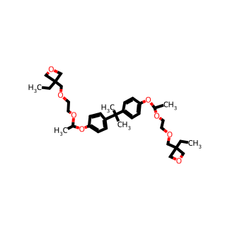 CCC1(COCCOC(C)Oc2ccc(C(C)(C)c3ccc(OC(C)OCCOCC4(CC)COC4)cc3)cc2)COC1